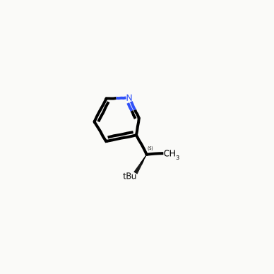 C[C@H](c1cccnc1)C(C)(C)C